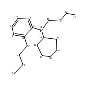 CCCCc1ccccc1P(CCCC)C1CCCCC1